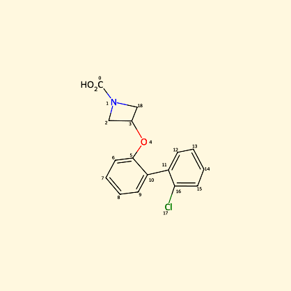 O=C(O)N1CC(Oc2ccccc2-c2ccccc2Cl)C1